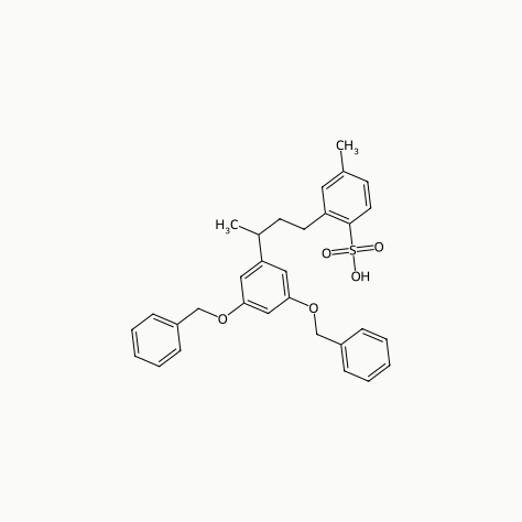 Cc1ccc(S(=O)(=O)O)c(CCC(C)c2cc(OCc3ccccc3)cc(OCc3ccccc3)c2)c1